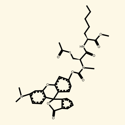 CCCCC[C@H](NC(=O)[C@H](CSC(C)=O)N(C)C(=O)Oc1ccc2c(c1)Oc1cc(N(C)C)ccc1C21OC(=O)c2ccccc21)C(=O)OC